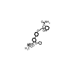 CS(=O)(=O)NC(=O)c1ccc(-c2ccc(OCC[C@](O)(COC(N)=O)c3ccccc3)cc2)cc1OC1CCCC1